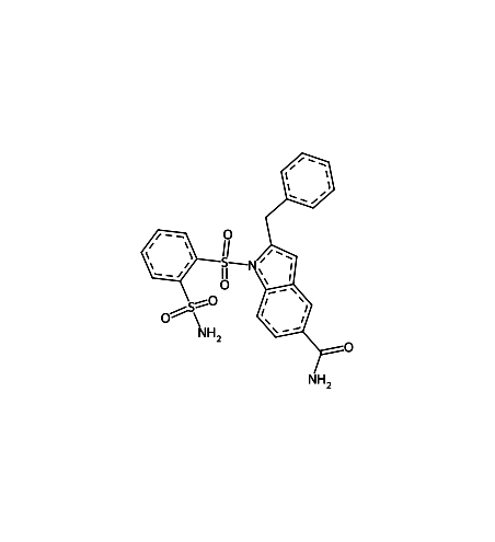 NC(=O)c1ccc2c(c1)cc(Cc1ccccc1)n2S(=O)(=O)c1ccccc1S(N)(=O)=O